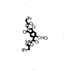 CC(C)CC(=O)ONC(=O)c1cc2c(cc1C=O)C(=O)N(OC(=O)CC(C)C)C2=O